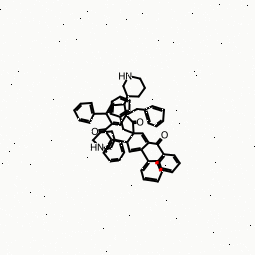 O=C(C1=CC(Cc2ccccc2)(C(=O)C2(Cc3ccccc3)C=C(C(=O)c3ccccc3)C(c3ccccc3)=CC2C2CCCNC2)C(C2CCCNC2)C=C1c1ccccc1)c1ccccc1